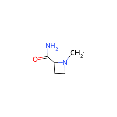 [CH2]N1CCC1C(N)=O